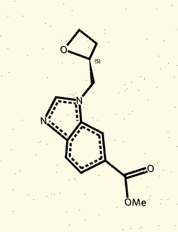 COC(=O)c1ccc2ncn(C[C@@H]3CCO3)c2c1